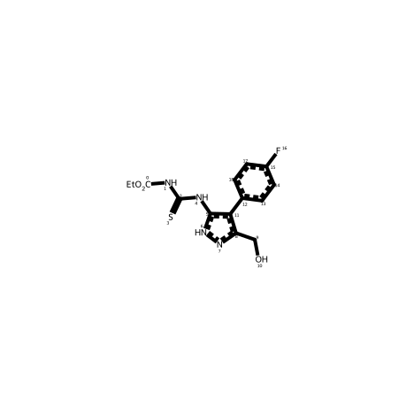 CCOC(=O)NC(=S)Nc1[nH]nc(CO)c1-c1ccc(F)cc1